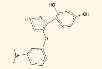 CN(C)c1cccc(Oc2c[nH]nc2-c2ccc(O)cc2O)c1